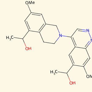 COc1cc2c(c(C(C)O)c1)CCN(c1cnnc3cc(OC)c(C(C)O)cc13)C2